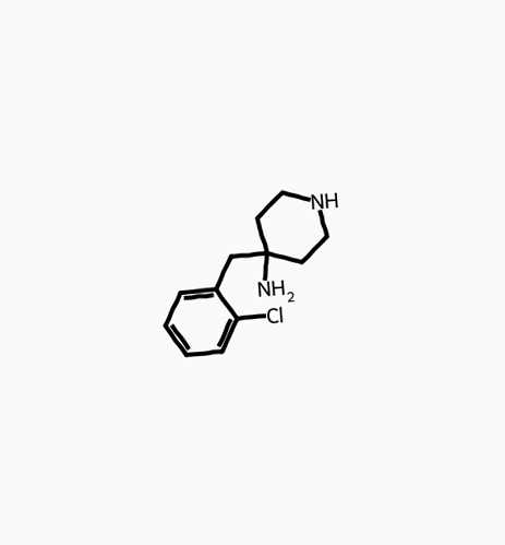 NC1(Cc2ccccc2Cl)CCNCC1